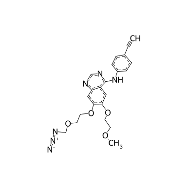 C#Cc1ccc(Nc2ncnc3cc(OCCOCN=[N+]=[N-])c(OCCOC)cc23)cc1